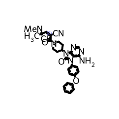 CNC(C)(C)/C=C(/C#N)C(=O)N1CCC(n2c(=O)n(-c3ccc(Oc4ccccc4)cc3)c3c(N)ncnc32)CC1